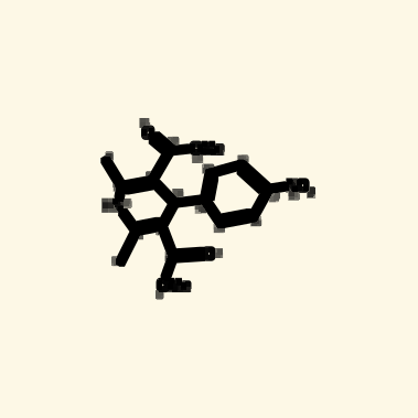 COC(=O)C1=C(C)NC(C)=C(C(=O)OC)C1c1ccc([N+](=O)[O-])cc1